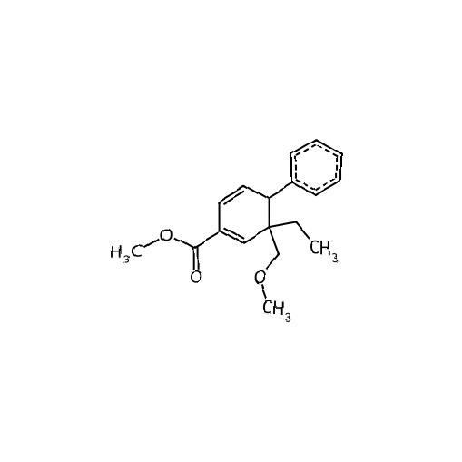 CCC1(COC)C=C(C(=O)OC)C=CC1c1ccccc1